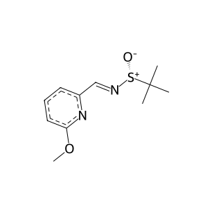 COc1cccc(C=N[S@+]([O-])C(C)(C)C)n1